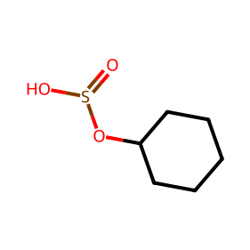 O=S(O)OC1CCCCC1